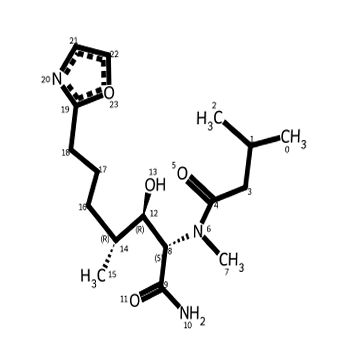 CC(C)CC(=O)N(C)[C@H](C(N)=O)[C@H](O)[C@H](C)CCCc1ncco1